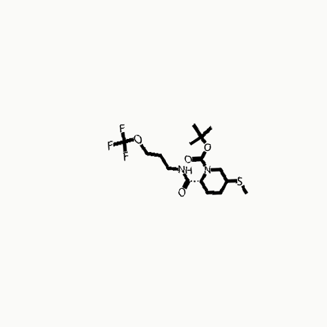 CSC1CC[C@H](C(=O)NCCCOC(F)(F)F)N(C(=O)OC(C)(C)C)C1